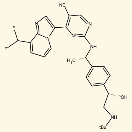 C[C@H](Nc1ncc(C#N)c(-c2cnc3c(C(F)F)cccn23)n1)c1ccc([C@H](O)CNC(C)(C)C)cc1